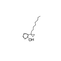 CCCCCCCCC1(c2ccccc2O)CC1